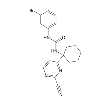 N#Cc1nccc(C2(NC(=O)Nc3cccc(Br)c3)CCCCC2)n1